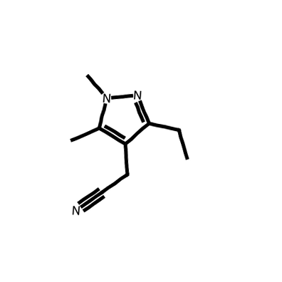 CCc1nn(C)c(C)c1CC#N